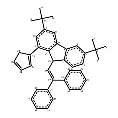 CC(C)(C)c1ccc2c(c1)-c1cc(C(C)(C)C)cc(C3=CC=CC3)c1C2C=C(c1ccccc1)c1ccccc1